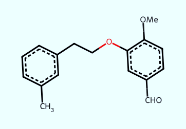 COc1ccc(C=O)cc1OCCc1cccc(C)c1